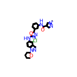 Cn1cc(C(=O)Nc2cccc(-c3nnc(Nc4ccc5c(cnn5C5CCCCO5)c4Cl)o3)c2)cn1